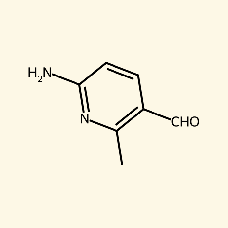 Cc1nc(N)ccc1C=O